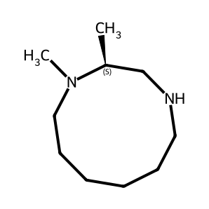 C[C@H]1CNCCCCCCN1C